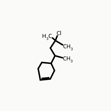 CC(CC(C)(C)Cl)C1CC=CCC1